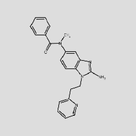 CN(C(=O)c1ccccc1)c1ccc2c(c1)nc(N)n2CCc1ccccn1